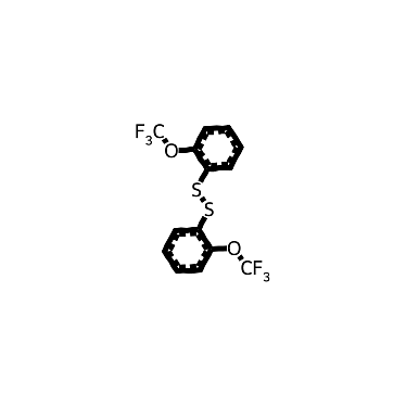 FC(F)(F)Oc1ccccc1SSc1ccccc1OC(F)(F)F